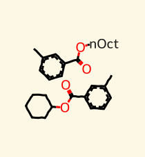 CCCCCCCCOC(=O)c1cccc(C)c1.Cc1cccc(C(=O)OC2CCCCC2)c1